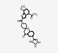 COc1ccc(C(C)=O)c2cc(C(=O)N3CCC4(CC3)CC(=O)c3cc(C5=NNNN5)ccc3O4)oc12